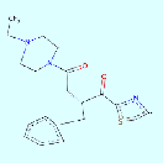 O=C(c1n[c]cs1)[C@@H](CC(=O)N1CCN(CC(F)(F)F)CC1)Cc1ccccc1